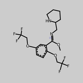 CO/C(=N\CC1CCCCN1)c1cc(OCC(F)(F)F)ccc1OCC(F)(F)F